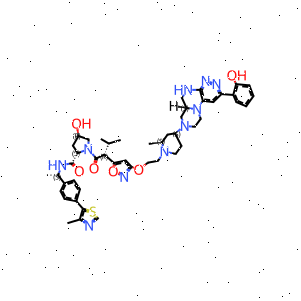 Cc1ncsc1-c1ccc([C@H](C)NC(=O)[C@@H]2C[C@@H](O)CN2C(=O)[C@@H](c2cc(OCCN3CC[C@H](N4CCN5c6cc(-c7ccccc7O)nnc6NC[C@H]5C4)C[C@@H]3C)no2)C(C)C)cc1